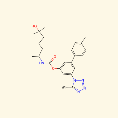 Cc1ccc(-c2cc(OC(=O)NC(C)CCCC(C)(C)O)cc(-n3nnnc3C(C)C)c2)cc1